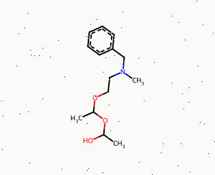 CC(O)OC(C)OCCN(C)Cc1ccccc1